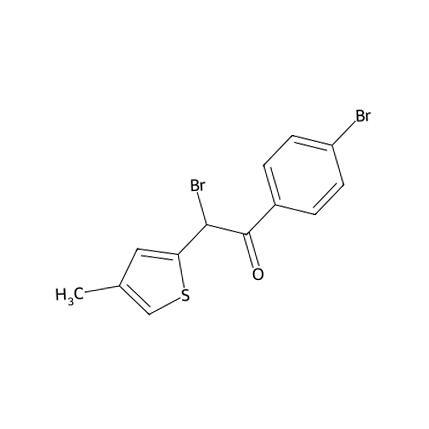 Cc1csc(C(Br)C(=O)c2ccc(Br)cc2)c1